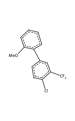 COc1c[c]ccc1-c1ccc(Cl)c(C(F)(F)F)c1